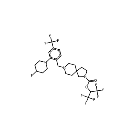 O=C(OC(C(F)(F)F)C(F)(F)F)N1CCC2(CCN(Cc3ccc(C(F)(F)F)cc3N3CCC(F)CC3)CC2)C1